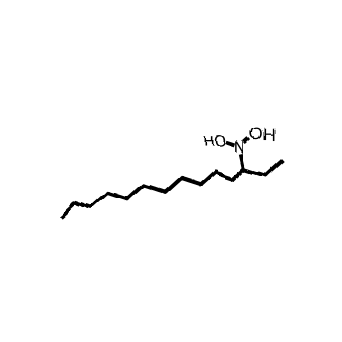 CCCCCCCCCCCC(CC)N(O)O